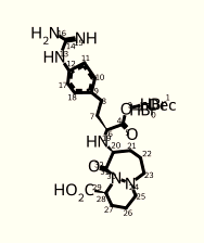 Br.Br.CCCCCCCCCCOC(=O)[C@H](CCc1ccc(NC(=N)N)cc1)N[C@H]1CCCN2CCC[C@@H](C(=O)O)N2C1=O